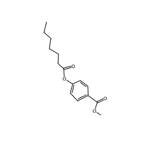 CCCCCCC(=O)Oc1ccc(C(=O)OC)cc1